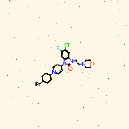 CC(C)[C@H]1CC[C@H](N2CCC(n3c(=O)n(CCN4CCOCC4)c4cc(Cl)c(F)cc43)CC2)CC1